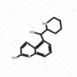 Oc1ccc2c(C(O)C3CCCCN3)cccc2n1